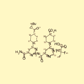 CC(C)(C)OC(=O)C1CCN(c2cc(C(N)=O)ncn2)CC1.NC(=O)c1cc(N2CCC(C(=O)O)CC2)ncn1.O=C(O)C(F)(F)F